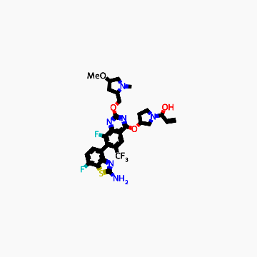 C=CC(O)N1CCC(Oc2nc(OCC3CC(OC)CN3C)nc3c(F)c(-c4ccc(F)c5sc(N)nc45)c(C(F)(F)F)cc23)C1